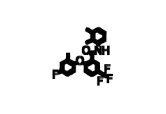 Cc1cc(F)ccc1Oc1ccc(C(F)(F)F)cc1C(=O)Nc1cccc(C)c1C